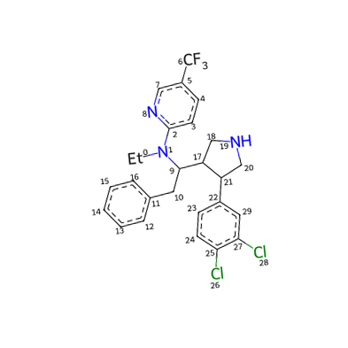 CCN(c1ccc(C(F)(F)F)cn1)C(Cc1ccccc1)C1CNCC1c1ccc(Cl)c(Cl)c1